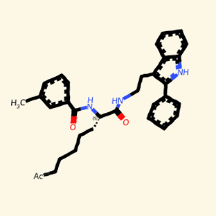 CC(=O)CCCCC[C@H](NC(=O)c1cccc(C)c1)C(=O)NCCc1c(-c2ccccc2)[nH]c2ccccc12